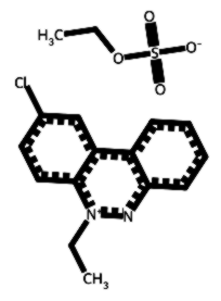 CCOS(=O)(=O)[O-].CC[n+]1nc2ccccc2c2cc(Cl)ccc21